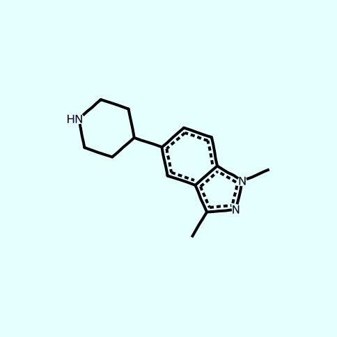 Cc1nn(C)c2ccc(C3CCNCC3)cc12